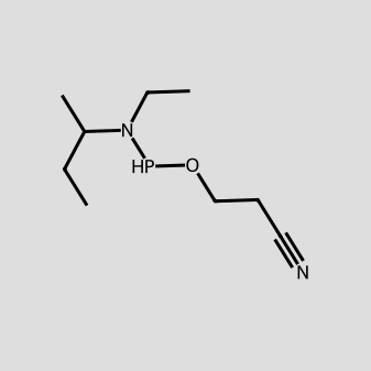 CCC(C)N(CC)POCCC#N